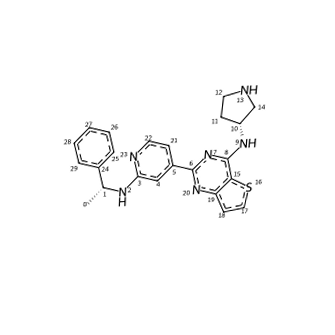 C[C@@H](Nc1cc(-c2nc(N[C@@H]3CCNC3)c3sccc3n2)ccn1)c1ccccc1